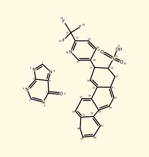 O=C1N=CN=C2N=CN=C12.O=S(=O)(O)C1Cc2ccc3c4c(ccc3c2=CC1c1ccc(C(F)(F)F)nc1)CC=CC=4